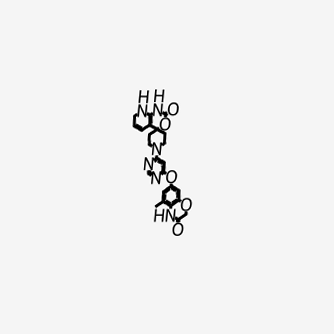 Cc1cc(Oc2cc(N3CCC4(CC3)OC(=O)NC3=C4C=CCN3)ncn2)cc2c1NC(=O)CO2